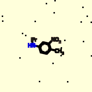 Cc1ccc(NC(C)C)cc1[N+](=O)[O-]